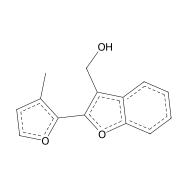 Cc1ccoc1-c1oc2ccccc2c1CO